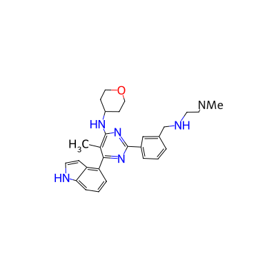 CNCCNCc1cccc(-c2nc(NC3CCOCC3)c(C)c(-c3cccc4[nH]ccc34)n2)c1